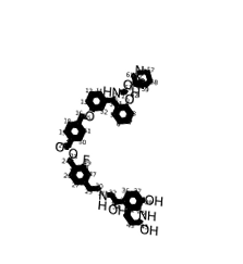 O=C(N[C@@H](c1ccccc1)c1cccc(OCc2ccc(C(=O)OCc3ccc(CCNC[C@H](O)c4ccc(O)c5c4C=CC(O)N5)cc3F)cc2)c1)O[C@H]1CN2CCC1CC2